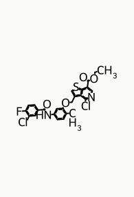 CCOC(=O)c1cnc(Cl)c2c(COc3cc(NC(=O)c4ccc(F)c(Cl)c4)ccc3C)csc12